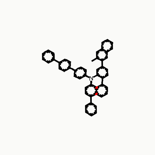 Cc1cc2ccccc2cc1-c1ccc(-c2ccccc2)c(N(c2ccc(-c3ccccc3)cc2)c2ccc(-c3ccc(-c4ccccc4)cc3)cc2)c1